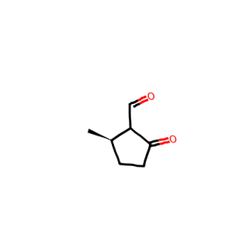 C[C@@H]1CCC(=O)C1C=O